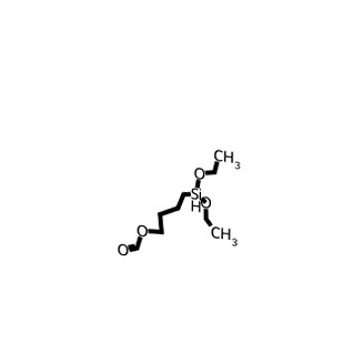 CCO[SiH](CCCCOC=O)OCC